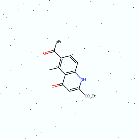 CCCC(=O)c1ccc2[nH]c(C(=O)OCC)cc(=O)c2c1C